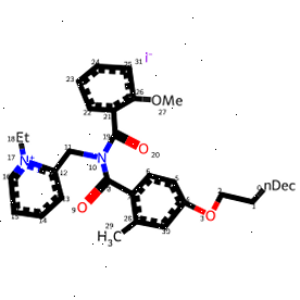 CCCCCCCCCCCCOc1ccc(C(=O)N(Cc2cccc[n+]2CC)C(=O)c2ccccc2OC)c(C)c1.[I-]